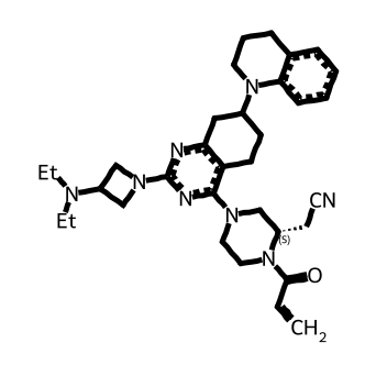 C=CC(=O)N1CCN(c2nc(N3CC(N(CC)CC)C3)nc3c2CCC(N2CCCc4ccccc42)C3)C[C@@H]1CC#N